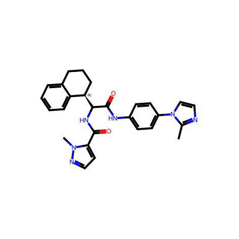 Cc1nccn1-c1ccc(NC(=O)C(NC(=O)c2ccnn2C)[C@@H]2CCCc3ccccc32)cc1